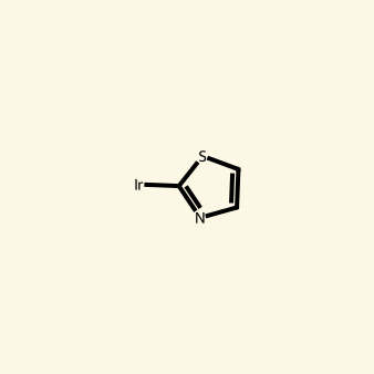 [Ir][c]1nccs1